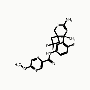 COc1cnc(C(=O)Nc2ccc(F)c([C@@]3(C)N=C(N)SCC34CC(F)(F)C4)c2)cn1